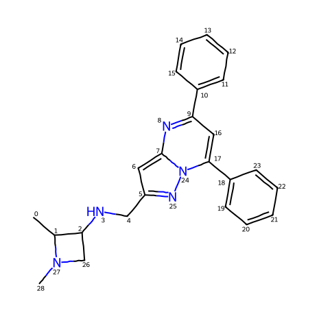 CC1C(NCc2cc3nc(-c4ccccc4)cc(-c4ccccc4)n3n2)CN1C